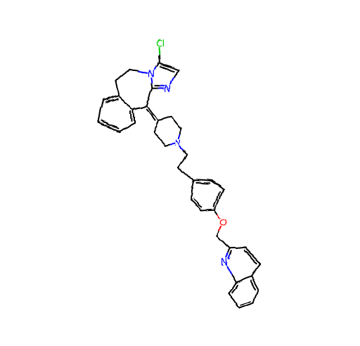 Clc1cnc2n1CCc1ccccc1C2=C1CCN(CCc2ccc(OCc3ccc4ccccc4n3)cc2)CC1